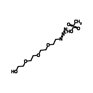 CS(=O)(=O)O.[N-]=[N+]=NCCOCCOCCOCCO